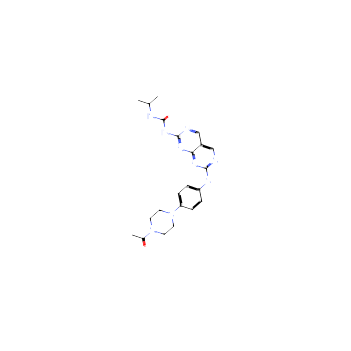 CC(=O)N1CCN(c2ccc(Nc3ncc4cnc(NC(=O)NC(C)C)nc4n3)cc2)CC1